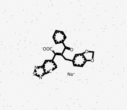 O=C([O-])C(=C(Cc1ccc2c(c1)OCO2)C(=O)c1ccccc1)c1ccc2nsnc2c1.[Na+]